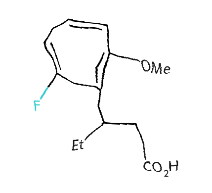 CCC(CC(=O)O)c1c(F)cccc1OC